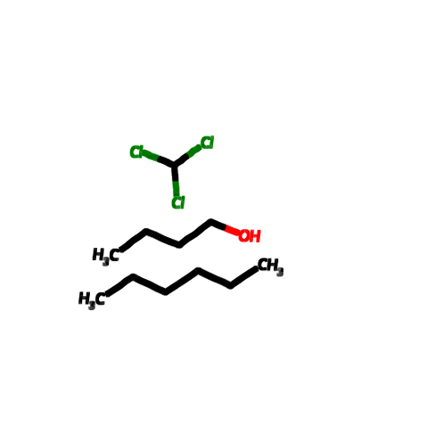 CCCCCC.CCCCO.ClC(Cl)Cl